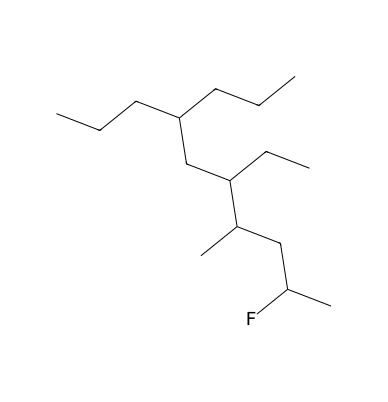 CCCC(CCC)CC(CC)C(C)CC(C)F